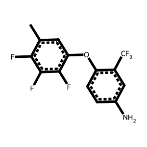 Cc1cc(Oc2ccc(N)cc2C(F)(F)F)c(F)c(F)c1F